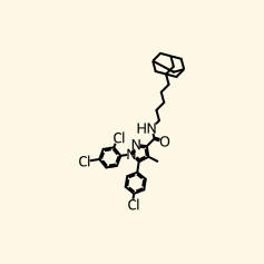 Cc1c(C(=O)NCCCCCC23CC4CC(CC(C4)C2)C3)nn(-c2ccc(Cl)cc2Cl)c1-c1ccc(Cl)cc1